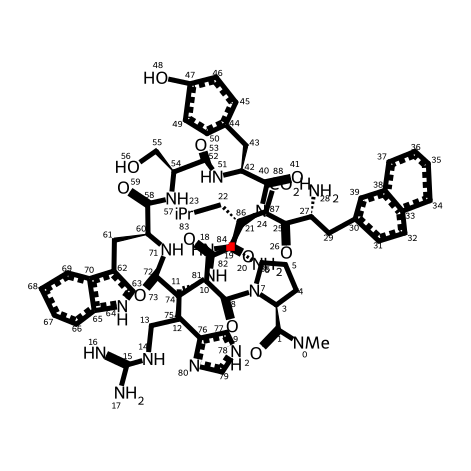 CNC(=O)[C@@H]1CCCN1C(=O)[C@H](CCCNC(=N)N)NC(=O)[C@H](CC(C)C)N(C(=O)[C@H](N)Cc1ccc2ccccc2c1)C(=O)[C@H](Cc1ccc(O)cc1)NC(=O)[C@H](CO)NC(=O)[C@H](Cc1c[nH]c2ccccc12)NC(=O)[C@H](Cc1c[nH]cn1)NC(=O)[C@@H](N)CCC(=O)O